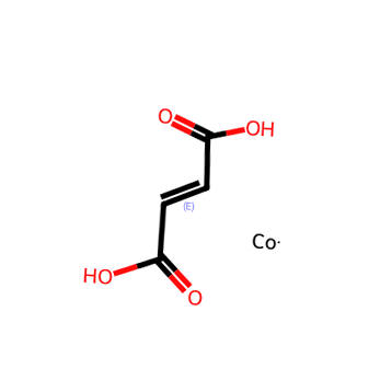 O=C(O)/C=C/C(=O)O.[Co]